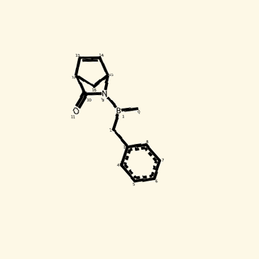 CB(Cc1ccccc1)N1C(=O)C2C=CC1C2